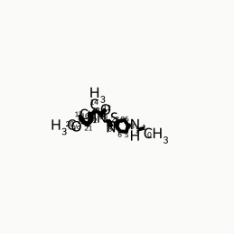 CCCNC1CCc2nc(NC(=O)C(C)c3ccc(OC)cc3)sc2C1